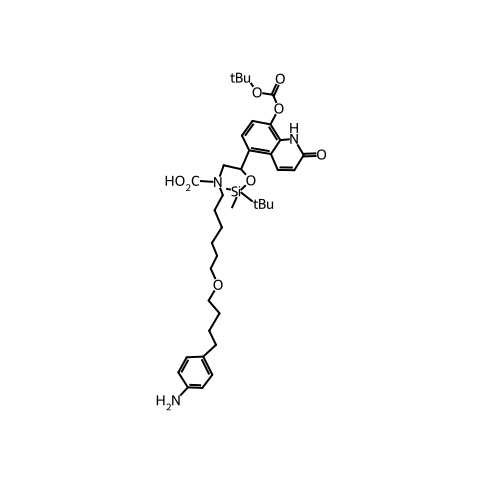 CC(C)(C)OC(=O)Oc1ccc(C(CN(CCCCCCOCCCCc2ccc(N)cc2)C(=O)O)O[Si](C)(C)C(C)(C)C)c2ccc(=O)[nH]c12